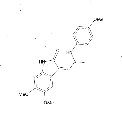 COc1ccc(NC(C)C=C2C(=O)Nc3cc(OC)c(OC)cc32)cc1